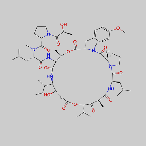 CC[C@H](C)[C@H]1NC(=O)C(NC(=O)[C@H](CC(C)C)N(C)C(=O)[C@@H]2CCCN2C(=O)[C@H](C)O)[C@@H](C)OC(=O)[C@H](Cc2ccc(OC)cc2)N(C)C(=O)[C@@H]2CCCN2C(=O)[C@@H](CC(C)C)NC(=O)[C@@H](C)C(=O)[C@H](C(C)C)OC(=O)C[C@H]1O